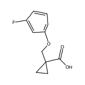 O=C(O)C1(COc2cccc(F)c2)CC1